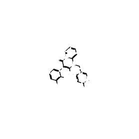 O=c1c(-c2cccc(Cl)c2F)c(O)n(Cc2ccc(Cl)nc2)c2cccc[n+]12